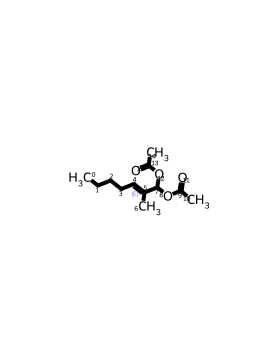 CCCC/C=C(\C)C(OC(C)=O)OC(C)=O